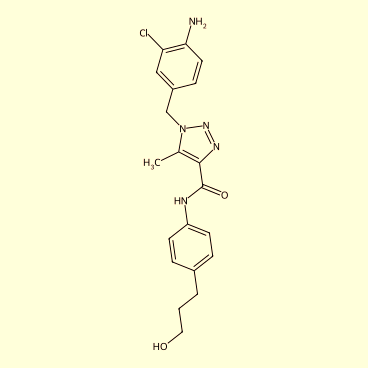 Cc1c(C(=O)Nc2ccc(CCCO)cc2)nnn1Cc1ccc(N)c(Cl)c1